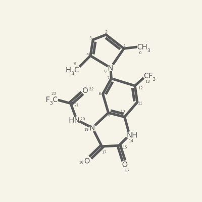 Cc1ccc(C)n1-c1cc2c(cc1C(F)(F)F)[nH]c(=O)c(=O)n2NC(=O)C(F)(F)F